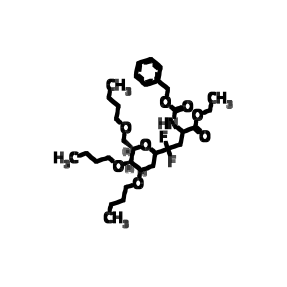 CCCCOC[C@H]1OC(C(F)(F)CC(NC(=O)OCc2ccccc2)C(=O)OCC)C[C@@H](OCCCC)[C@H]1OCCCC